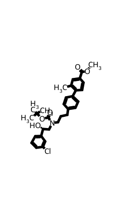 COC(=O)c1ccc(-c2ccc(CCCN(C[C@H](O)c3cccc(Cl)c3)C(=O)OC(C)(C)C)cc2)c(C)c1